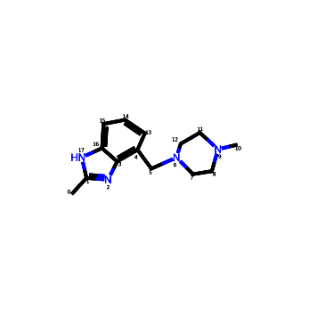 Cc1nc2c(CN3CCN(C)CC3)cccc2[nH]1